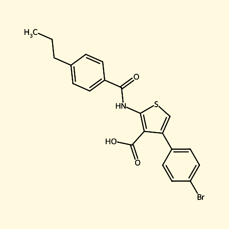 CCCc1ccc(C(=O)Nc2scc(-c3ccc(Br)cc3)c2C(=O)O)cc1